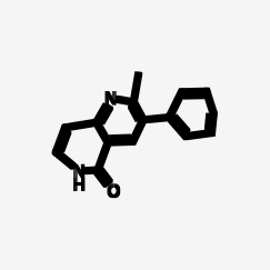 Cc1nc2cc[nH]c(=O)c2cc1-c1ccccc1